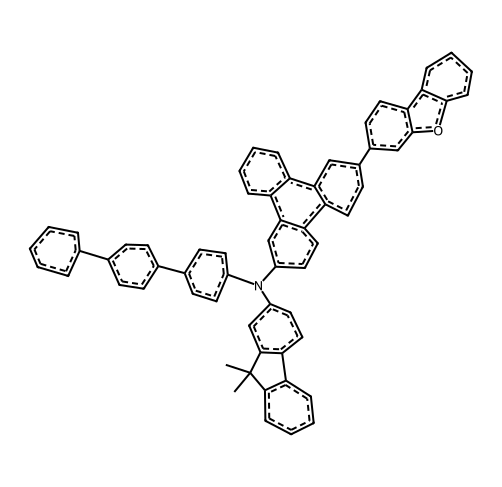 CC1(C)c2ccccc2-c2ccc(N(c3ccc(-c4ccc(-c5ccccc5)cc4)cc3)c3ccc4c5ccc(-c6ccc7c(c6)oc6ccccc67)cc5c5ccccc5c4c3)cc21